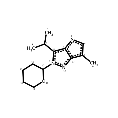 Cc1csc2c(C(C)C)n(C3CCCCO3)nc12